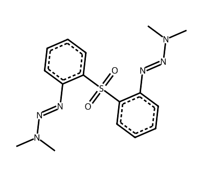 CN(C)N=Nc1ccccc1S(=O)(=O)c1ccccc1N=NN(C)C